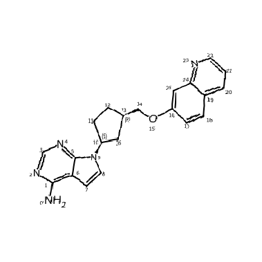 Nc1ncnc2c1ccn2[C@H]1CC[C@@H](COc2ccc3cccnc3c2)C1